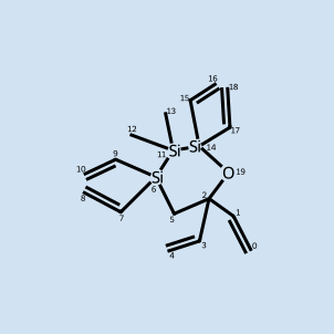 C=CC1(C=C)C[Si](C=C)(C=C)[Si](C)(C)[Si](C=C)(C=C)O1